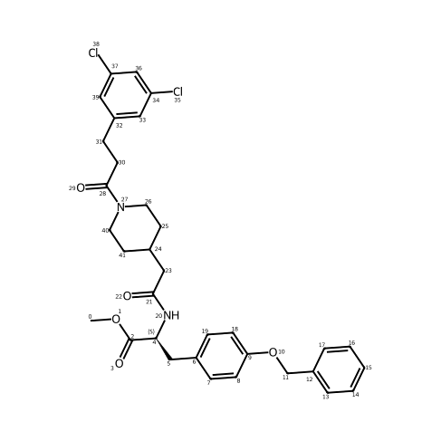 COC(=O)[C@H](Cc1ccc(OCc2ccccc2)cc1)NC(=O)CC1CCN(C(=O)CCc2cc(Cl)cc(Cl)c2)CC1